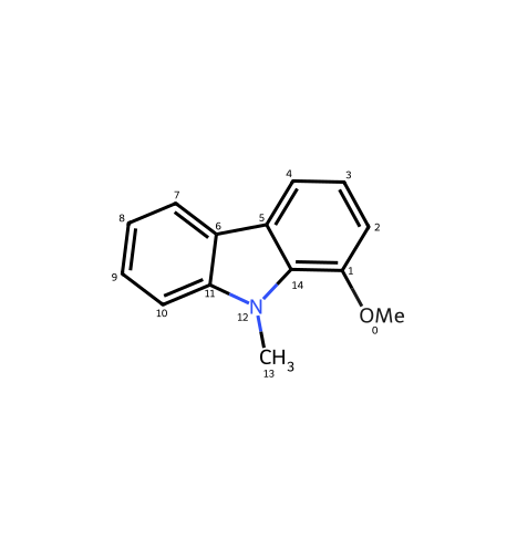 COc1cccc2c3ccccc3n(C)c12